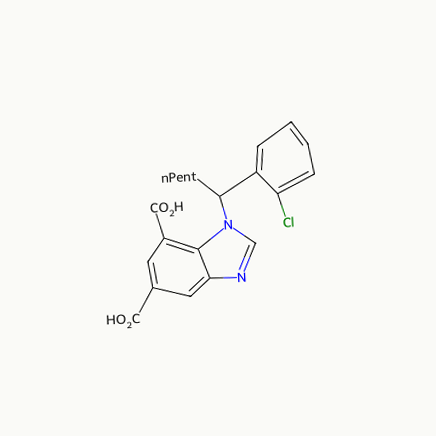 CCCCCC(c1ccccc1Cl)n1cnc2cc(C(=O)O)cc(C(=O)O)c21